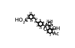 CC(=O)c1ccc(OCc2ccc(CCc3cccc(C(=O)O)c3)cc2)c(-c2nccs2)c1O